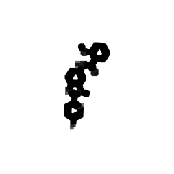 COc1ccccc1C(=O)Nc1ccc2nc(-c3ccc(F)cn3)n(C)c2c1